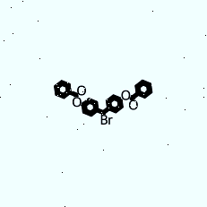 O=C(Oc1ccc(C(Br)c2ccc(OC(=O)c3ccccc3)cc2)cc1)c1ccccc1